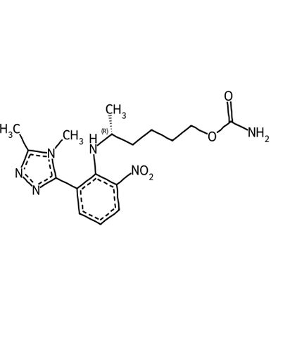 Cc1nnc(-c2cccc([N+](=O)[O-])c2N[C@H](C)CCCCOC(N)=O)n1C